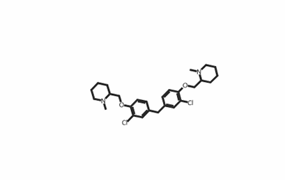 CN1CCCCC1COc1ccc(Cc2ccc(OCC3CCCCN3C)c(Cl)c2)cc1Cl